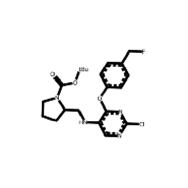 CC(C)(C)OC(=O)N1CCCC1CNc1cnc(Cl)nc1Oc1ccc(CF)cc1